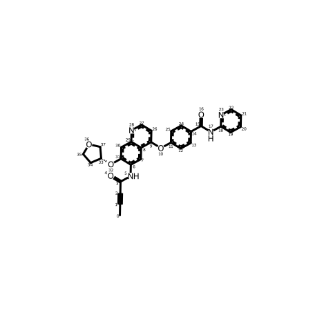 CC#CC(=O)Nc1cc2c(Oc3ccc(C(=O)Nc4ccccn4)cc3)ccnc2cc1O[C@@H]1CCOC1